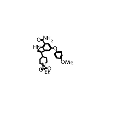 CCS(=O)(=O)N1CCC(c2c[nH]c3c(C(N)=O)cc(Oc4ccc(OC)cc4)cc23)CC1